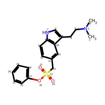 CN(C)CCc1c[nH]c2ccc(CS(=O)(=O)Oc3ccccc3)cc12